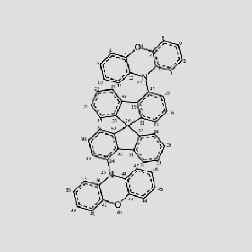 c1ccc2c(c1)Oc1ccccc1N2c1cccc2c1-c1ccccc1C21c2ccccc2-c2c(N3c4ccccc4Oc4ccccc43)cccc21